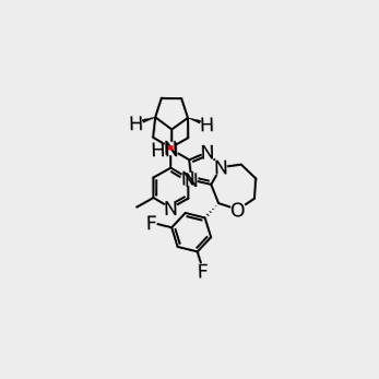 Cc1cc(N2C[C@H]3CC[C@@H](C2)C3Nc2nc3n(n2)CCCO[C@@H]3c2cc(F)cc(F)c2)ncn1